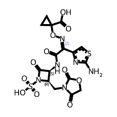 Nc1nc(/C(=N/OC2(C(=O)O)CC2)C(=O)N[C@@H]2C(=O)N(S(=O)(=O)O)[C@@H]2CN2C(=O)COC2=O)cs1